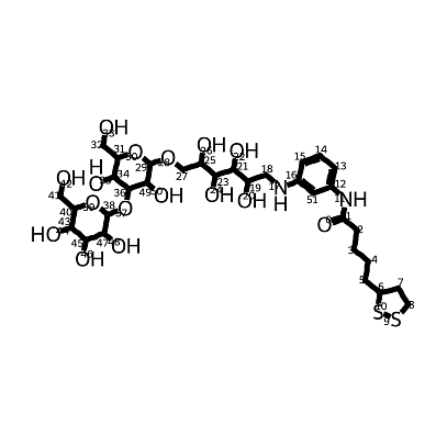 O=C(CCCCC1CCSS1)Nc1cccc(NCC(O)C(O)C(O)C(O)COC2OC(CO)C(O)C(OC3OC(CO)C(O)C(O)C3O)C2O)c1